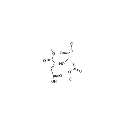 COC(=O)/C=C/C(=O)O.O=C(CC(O)C(=O)OCl)OCl